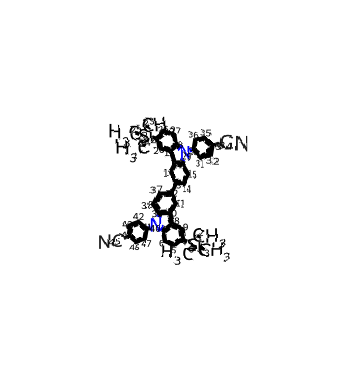 C[Si](C)(C)c1ccc2c(c1)c1cc(-c3ccc4c(c3)c3cc([Si](C)(C)C)ccc3n4-c3ccc(C#N)cc3)ccc1n2-c1ccc(C#N)cc1